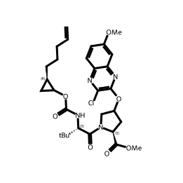 C=CCCC[C@@H]1CC1OC(=O)N[C@H](C(=O)N1CC(Oc2nc3cc(OC)ccc3nc2Cl)C[C@H]1C(=O)OC)C(C)(C)C